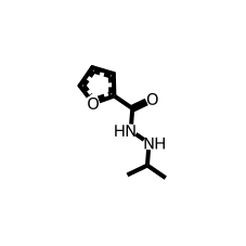 CC(C)NNC(=O)c1ccco1